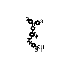 C=C(/C(C)=C/c1ccc(-c2ccc(N(c3ccc(OC)cc3)c3ccc(OC)cc3)cc2)c2nsnc12)C(C)(C)c1ccc(B(O)O)cc1